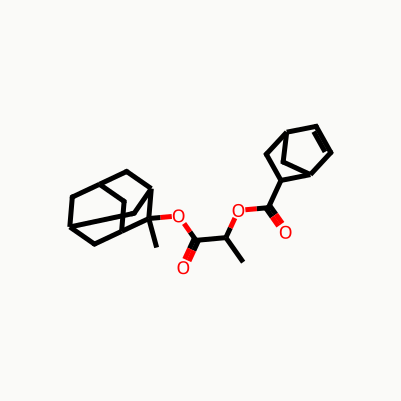 CC(OC(=O)C1CC2C=CC1C2)C(=O)OC1(C)C2CC3CC(C2)CC1C3